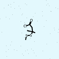 CSSC(C)(C)CC(=O)Cl